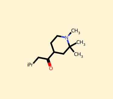 CC(C)CC(=O)C1CCN(C)C(C)(C)C1